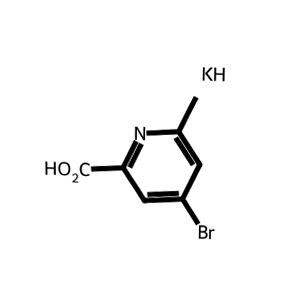 Cc1cc(Br)cc(C(=O)O)n1.[KH]